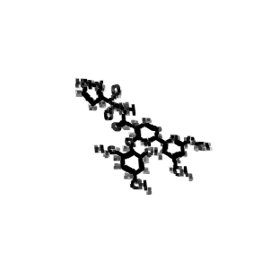 CCOc1cc(C)cc(-c2ccc(C(=O)NS(=O)(=O)c3cc[nH]n3)c(Oc3c(C)cc(C)cc3C)n2)n1